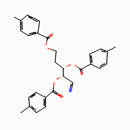 Cc1ccc(C(=O)OC[C@@H](O)[C@@H](OC(=O)c2ccc(C)cc2)[C@@H](C=N)OC(=O)c2ccc(C)cc2)cc1